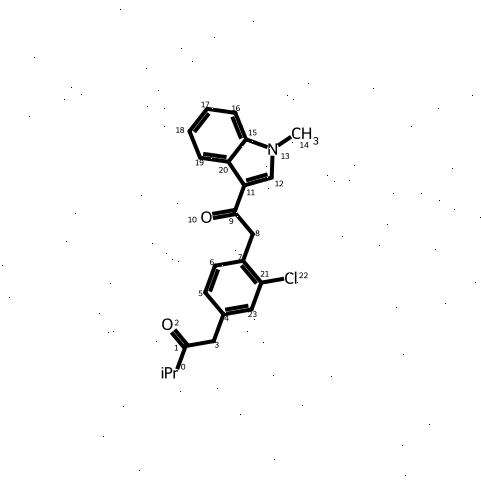 CC(C)C(=O)Cc1ccc(CC(=O)c2cn(C)c3ccccc23)c(Cl)c1